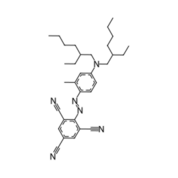 CCCCC(CC)CN(CC(CC)CCCC)c1ccc(N=Nc2c(C#N)cc(C#N)cc2C#N)c(C)c1